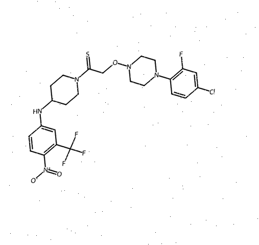 O=[N+]([O-])c1ccc(NC2CCN(C(=S)CON3CCN(c4ccc(Cl)cc4F)CC3)CC2)cc1C(F)(F)F